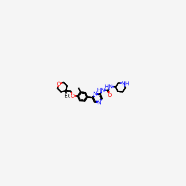 CCC1(COc2ccc(-c3cncc(NC(=O)NC4CCCNC4)n3)cc2C)CCOCC1